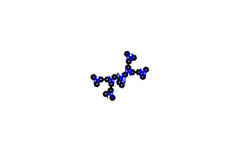 c1ccc(-n2c3ccccc3c3cc(-c4ccc5c(c4)c4cc(-c6ccc7c(c6)c6ccccc6n7-c6ccccc6)ccc4n5-c4ccc(-c5nc(-c6cccc(-n7c8ccc(-c9ccc%10c(c9)c9ccccc9n%10-c9ccccc9)cc8c8cc(-c9ccc%10c(c9)c9ccccc9n%10-c9ccccc9)ccc87)c6)c6ccc7ccccc7c6n5)cc4)ccc32)cc1